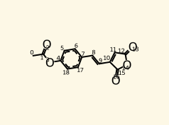 CC(=O)Oc1ccc(C=CC2=CC(=O)OC2=O)cc1